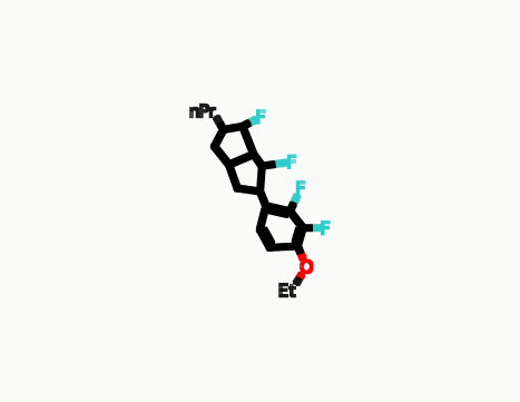 CCCC1CC2CC(c3ccc(OCC)c(F)c3F)C(F)C2C1F